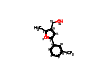 Cc1oc(-c2cccc(C(F)(F)F)c2)cc1CO